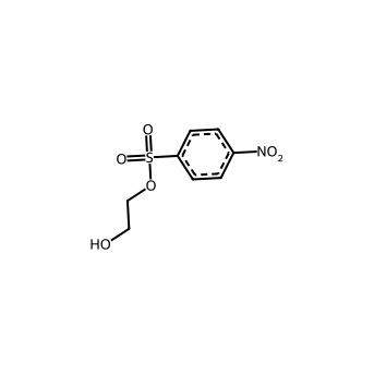 O=[N+]([O-])c1ccc(S(=O)(=O)OCCO)cc1